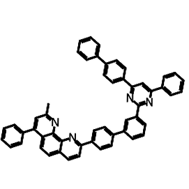 Cc1cc(-c2ccccc2)c2ccc3ccc(-c4ccc(-c5cccc(-c6nc(-c7ccccc7)cc(-c7ccc(-c8ccccc8)cc7)n6)c5)cc4)nc3c2n1